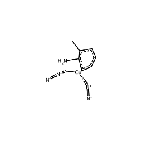 Cc1ccccc1N.[N-]=[N+]=[N][Cu][N]=[N+]=[N-]